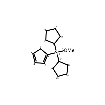 CO[Si](C1=CC=CC1)(C1CCCC1)C1CCCC1